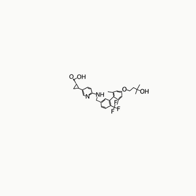 Cc1cc(OCCC(C)(C)O)cc(C)c1-c1cc(CNc2ccc(C3C[C@H]3C(=O)O)cn2)ccc1C(F)(F)F